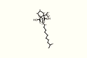 CC(C)CCCCCCCCCCC1(C(=O)O)CCCCC1(C(=O)O)C(C)C